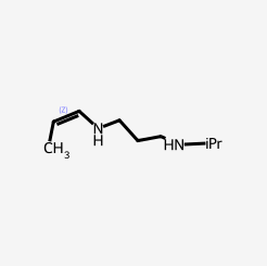 C/C=C\NCCCNC(C)C